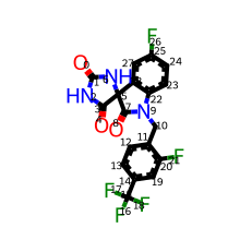 O=C1NC(=O)C2(N1)C(=O)N(Cc1ccc(C(F)(F)F)cc1F)c1ccc(F)cc12